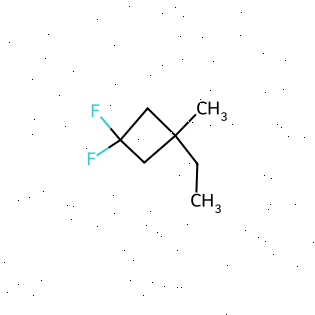 CCC1(C)CC(F)(F)C1